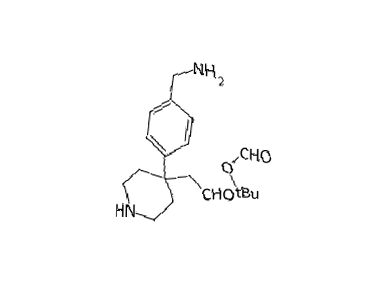 CC(C)(C)OC=O.NCc1ccc(C2(CC=O)CCNCC2)cc1